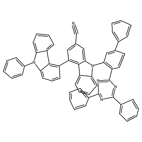 N#Cc1cc(-c2cccc3c2c2ccccc2n3-c2ccccc2)c2c3ccccc3n(-c3cc(-c4ccccc4)ccc3-c3nc(-c4ccccc4)nc(-c4ccccc4)n3)c2c1